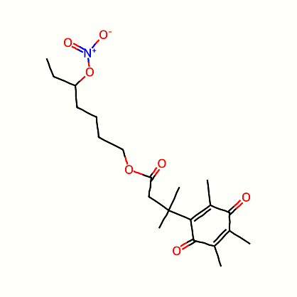 CCC(CCCCOC(=O)CC(C)(C)C1=C(C)C(=O)C(C)=C(C)C1=O)O[N+](=O)[O-]